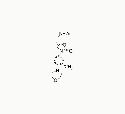 CC(=O)NC[C@H]1CN(c2ccc(N3CCOCC3)c(C)c2)C(=O)O1